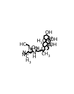 C#CCNC(=O)C(CCC1(C)N=N1)NC(=O)CC[C@@H](C)[C@H]1CC[C@H]2[C@@H]3C(O)C(O)[C@@H]4C[C@H](O)CC[C@]4(C)C3CC[C@]12C